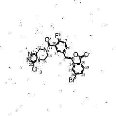 O=C1OC(=Cc2ccc(F)c(C(=O)N3CCn4c(nnc4C(F)(F)F)C3)c2)c2cc(Br)ccc21